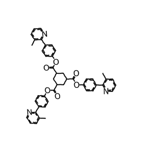 Cc1cccnc1-c1ccc(OC(=O)C2CC(C(=O)Oc3ccc(-c4ncccc4C)cc3)CC(C(=O)Oc3ccc(-c4ncccc4C)cc3)C2)cc1